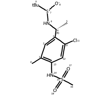 Cc1cc([C@@H](C)N[S+]([O-])C(C)(C)C)c(Cl)cc1NS(C)(=O)=O